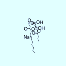 CCCC(=O)[O-].CCCCCCCCCC(=O)CC=O.O=S(O)S(=O)O.[Na+]